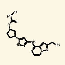 CC(C)NC(=O)O[C@@H]1CC[C@H](c2cc(Nc3nccn4nc(CS)cc34)n[nH]2)C1